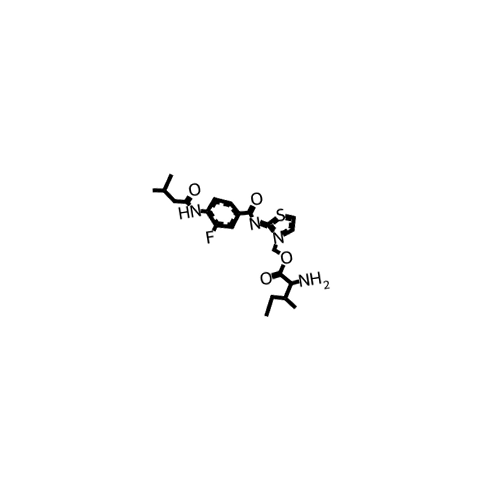 CCC(C)C(N)C(=O)OCn1ccs/c1=N\C(=O)c1ccc(NC(=O)CC(C)C)c(F)c1